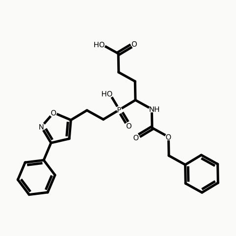 O=C(O)CCC(NC(=O)OCc1ccccc1)P(=O)(O)CCc1cc(-c2ccccc2)no1